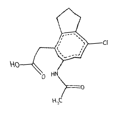 CC(=O)Nc1cc(Cl)c2c(c1CC(=O)O)CCC2